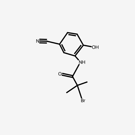 CC(C)(Br)C(=O)Nc1cc(C#N)ccc1O